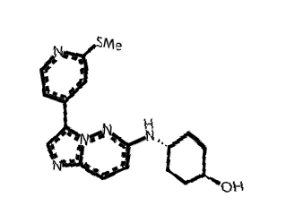 CSc1cc(-c2cnc3ccc(N[C@H]4CC[C@H](O)CC4)nn23)ccn1